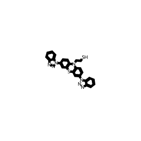 SCCN1c2ccc(-n3nnc4ccccc43)cc2Sc2cc(-n3nnc4ccccc43)ccc21